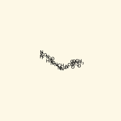 CNC(=O)C(CCC=O)N1C(=O)c2ccc(N3CCC(CN4CCN(CC5(C)CN(c6ccc(NC(=O)C7CCN(c8ccc(C#N)c(C(F)(F)F)c8)CC7)nc6)C5)CC4)CC3)cc2C1=O